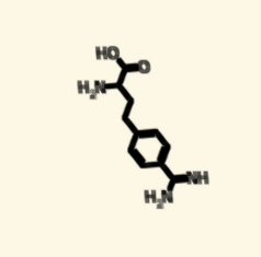 N=C(N)c1ccc(CCC(N)C(=O)O)cc1